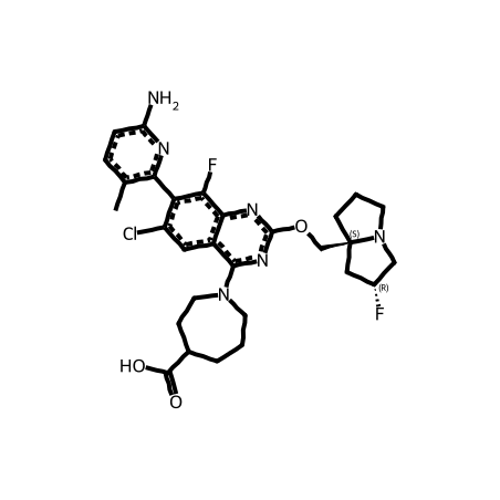 Cc1ccc(N)nc1-c1c(Cl)cc2c(N3CCCC(C(=O)O)CC3)nc(OC[C@@]34CCCN3C[C@H](F)C4)nc2c1F